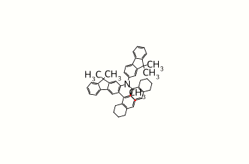 Cc1ccc2c(c1-c1cc3c(cc1N(c1ccc4c(c1)C(C)(C)c1ccccc1-4)c1cccc4c1CCCC4)C(C)(C)c1ccccc1-3)CCCC2